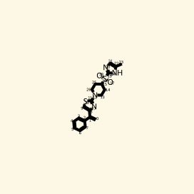 C=C(c1ccccc1)c1csc(N2CCC(S(=O)(=O)c3ncc(C)[nH]3)CC2)n1